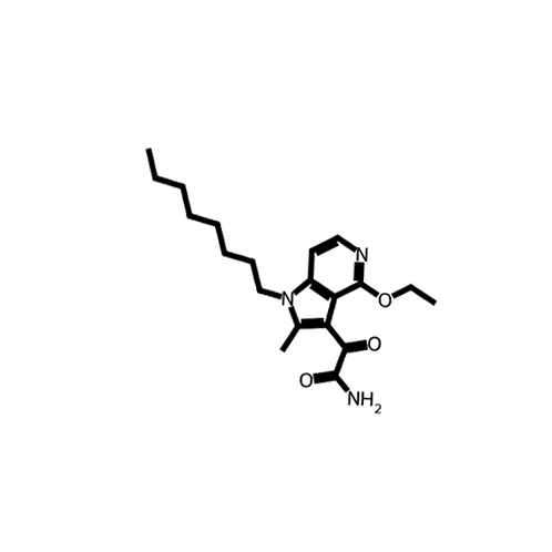 CCCCCCCCn1c(C)c(C(=O)C(N)=O)c2c(OCC)nccc21